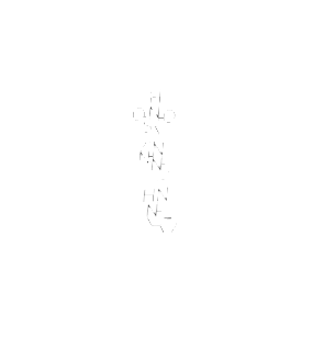 O=C1NC(=O)/C(=C/c2ccnc(N3CCC(CNCc4nccc5ccccc45)CC3)n2)S1